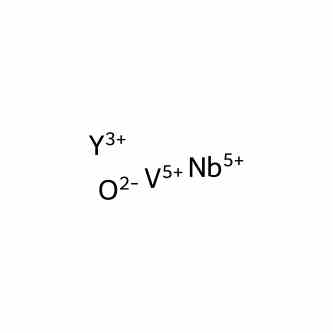 [Nb+5].[O-2].[V+5].[Y+3]